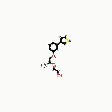 CC(COc1cccc(-c2ccsc2)c1)OCCO